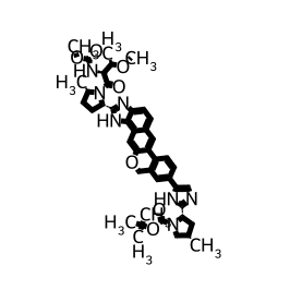 COC(=O)N[C@H](C(=O)N1[C@@H](C)CC[C@H]1c1nc2ccc3cc4c(cc3c2[nH]1)OCc1cc(-c2cnc([C@@H]3C[C@H](C)CN3C(=O)OC(C)(C)C)[nH]2)ccc1-4)[C@@H](C)OC